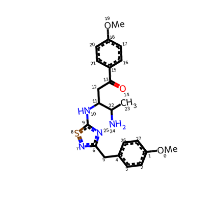 COc1ccc(Cc2nsc(NC(CC(=O)c3ccc(OC)cc3)C(C)N)n2)cc1